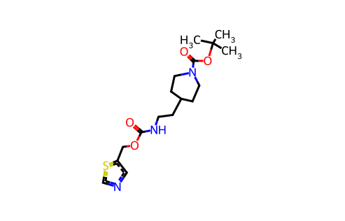 CC(C)(C)OC(=O)N1CCC(CCNC(=O)OCc2cncs2)CC1